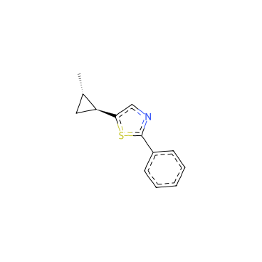 C[C@H]1C[C@@H]1c1cnc(-c2ccccc2)s1